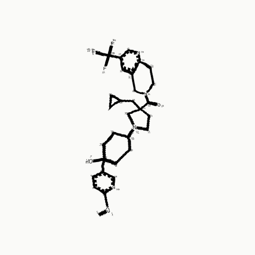 COc1ccc(C2(O)CCC(N3CCC(CC4CC4)(C(=O)N4CCc5ncc(C(F)(F)F)cc5C4)C3)CC2)cn1